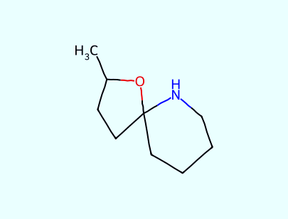 CC1CCC2(CCCCN2)O1